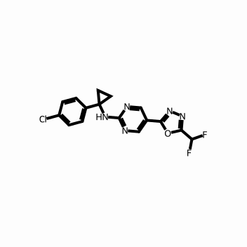 FC(F)c1nnc(-c2cnc(NC3(c4ccc(Cl)cc4)CC3)nc2)o1